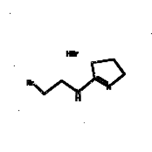 Br.BrCCNC1=NCCC1